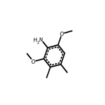 COc1cc(C)c(C)c(OC)c1N